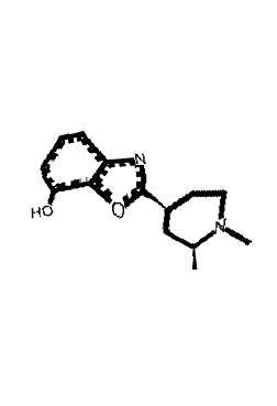 C[C@H]1C[C@@H](c2nc3cccc(O)c3o2)CCN1C